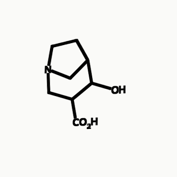 O=C(O)C1CN2CCC(C2)C1O